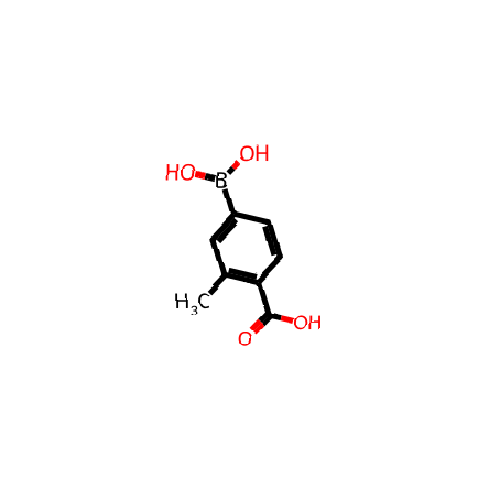 Cc1cc(B(O)O)ccc1C(=O)O